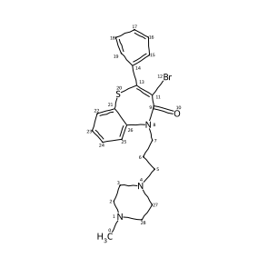 CN1CCN(CCCN2C(=O)C(Br)=C(c3ccccc3)Sc3ccccc32)CC1